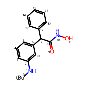 CC(C)(C)Nc1cccc(C(C(=O)NO)c2ccccc2)c1